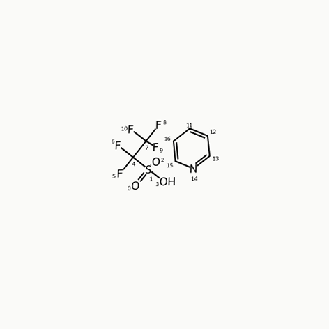 O=S(=O)(O)C(F)(F)C(F)(F)F.c1ccncc1